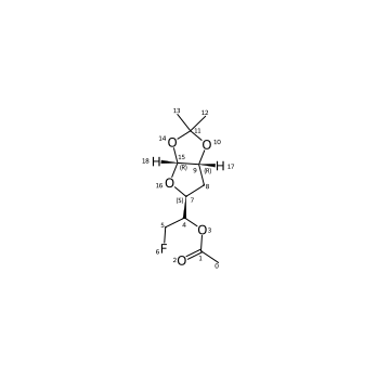 CC(=O)OC(CF)[C@@H]1C[C@H]2OC(C)(C)O[C@H]2O1